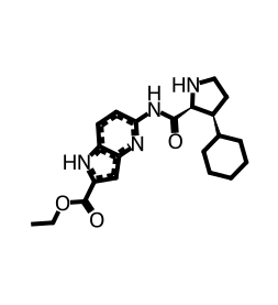 CCOC(=O)c1cc2nc(NC(=O)[C@H]3NCC[C@H]3C3CCCCC3)ccc2[nH]1